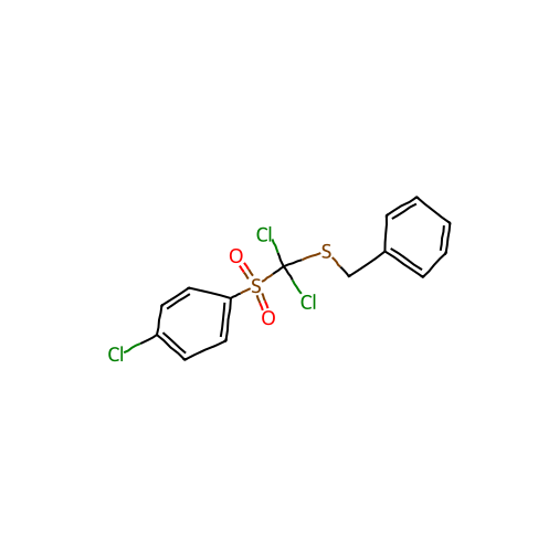 O=S(=O)(c1ccc(Cl)cc1)C(Cl)(Cl)SCc1ccccc1